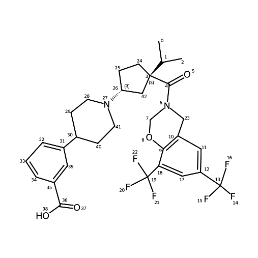 CC(C)[C@]1(C(=O)N2COc3c(cc(C(F)(F)F)cc3C(F)(F)F)C2)CC[C@@H](N2CCC(c3cccc(C(=O)O)c3)CC2)C1